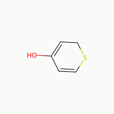 OC1=CCSC=C1